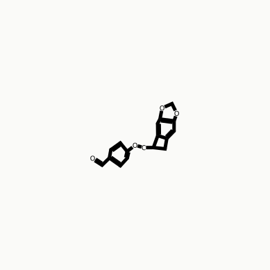 O=Cc1ccc(OCC2Cc3cc4c(cc32)OCO4)cc1